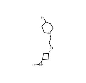 CCN[C@H]1C[C@H](OCCN2CCN(CC)CC2)C1